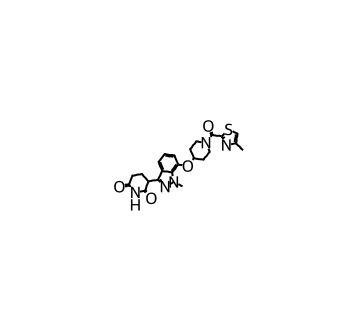 Cc1csc(C(=O)N2CCC(Oc3cccc4c(C5CCC(=O)NC5=O)nn(C)c34)CC2)n1